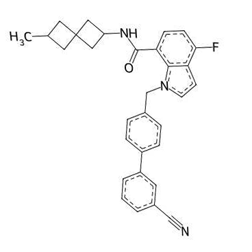 CC1CC2(C1)CC(NC(=O)c1ccc(F)c3ccn(Cc4ccc(-c5cccc(C#N)c5)cc4)c13)C2